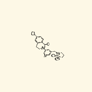 O=C1c2ccc(Cl)cc2CCN1c1cncc(CN2CCCS2(=O)=O)c1